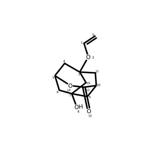 C=COC12CC3CC(O)(CC(C1)C(=O)O3)C2